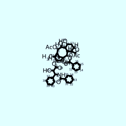 CC(=O)O[C@H]1C(=O)[C@@]2(C)[C@H](C(OC(=O)c3ccccc3)[C@]3(O)C[C@H](OC(=O)C(O)C(NC(=O)c4ccccc4)c4ccccc4)C(C)=C1C3(C)C)[C@]1(OC(C)=O)CO[C@@H]1C[C@@H]2O